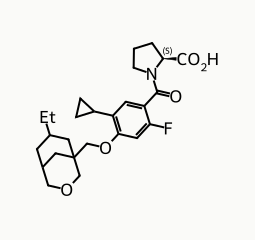 CCC1CC2COCC(COc3cc(F)c(C(=O)N4CCC[C@H]4C(=O)O)cc3C3CC3)(C1)C2